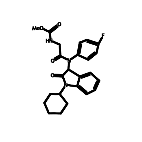 COC(=O)NCC(=O)N(c1ccc(F)cc1)C1C(=O)N(C2CCCCC2)c2ccccc21